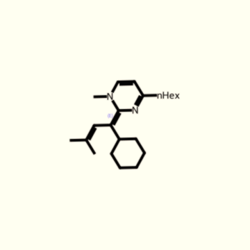 CCCCCCC1=N/C(=C(/C=C(C)C)C2CCCCC2)N(C)C=C1